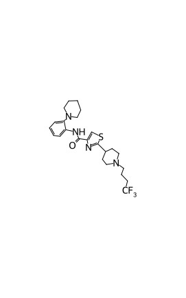 O=C(Nc1ccccc1N1CCCCC1)c1csc(C2CCN(CCCC(F)(F)F)CC2)n1